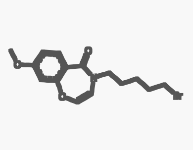 COc1ccc2c(c1)OC=CN(CCCCCBr)C2=O